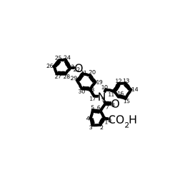 O=C(O)c1ccccc1C(=O)N(Cc1ccccc1)Cc1ccc(Oc2ccccc2)cc1